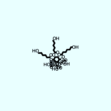 O=C(CCCCCO)OC1C(OC(=O)CCCCCO)C(OP(=O)(O)O)C(OP(=O)(O)O)C(OP(=O)(O)O)C1OC(=O)CCCCCO